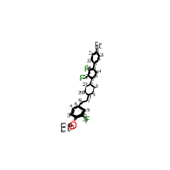 CCOc1ccc(CCC2CCC(c3ccc(-c4ccc(CC)cc4)c(F)c3F)CC2)cc1F